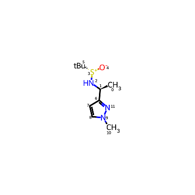 C[C@H](N[S@@+]([O-])C(C)(C)C)c1ccn(C)n1